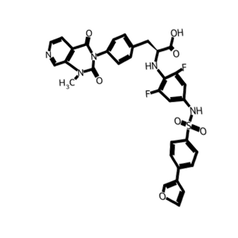 Cn1c(=O)n(-c2ccc(C[C@H](Nc3c(F)cc(NS(=O)(=O)c4ccc(-c5ccoc5)cc4)cc3F)C(=O)O)cc2)c(=O)c2ccncc21